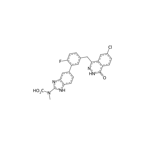 CN(C(=O)O)c1nc2cc(-c3cc(Cc4n[nH]c(=O)c5ccc(Cl)cc45)ccc3F)ccc2[nH]1